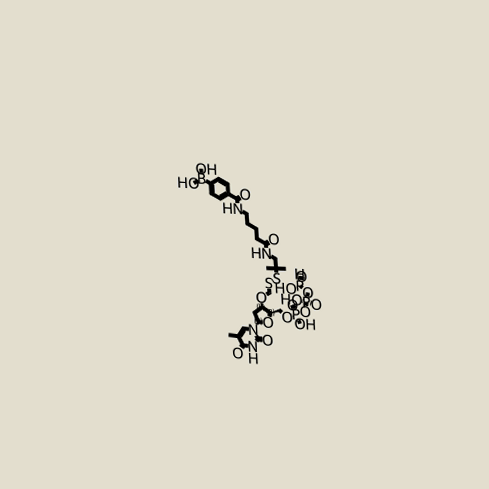 Cc1cn([C@H]2C[C@@H](OCSSC(C)(C)CNC(=O)CCCCNC(=O)c3ccc(B(O)O)cc3)[C@@H](COP(=O)(O)OP(=O)(O)O[PH](=O)O)O2)c(=O)[nH]c1=O